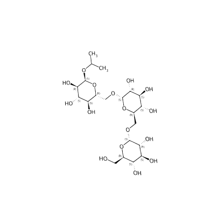 CC(C)O[C@H]1O[C@H](CO[C@H]2O[C@H](CO[C@H]3O[C@H](CO)[C@@H](O)[C@H](O)[C@H]3O)[C@@H](O)[C@H](O)[C@H]2O)[C@@H](O)[C@H](O)[C@H]1O